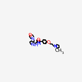 CC1CCCN1CCCOc1ccc(-c2nc(C[C@]3(CN4CCOCC4)CCCN3)co2)cc1